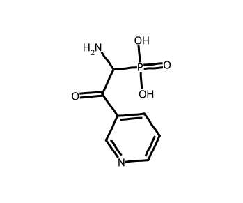 NC(C(=O)c1cccnc1)P(=O)(O)O